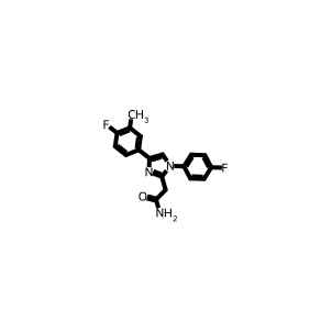 Cc1cc(-c2cn(-c3ccc(F)cc3)c(CC(N)=O)n2)ccc1F